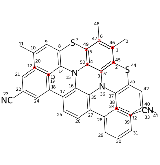 Cc1ccc2c(c1)Sc1cc(C)ccc1N2c1c(-c2cccc(C#N)c2)ccc(-c2cccc(C#N)c2)c1N1c2ccc(C)cc2Sc2cc(C)ccc21